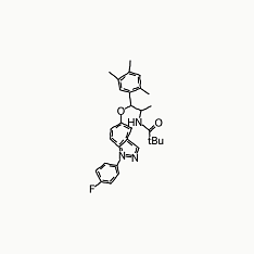 Cc1cc(C)c(C(Oc2ccc3c(cnn3-c3ccc(F)cc3)c2)C(C)NC(=O)C(C)(C)C)cc1C